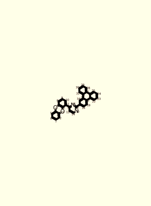 c1ccc2c(c1)Oc1cccc(-c3ccnc(-c4ccc5c6ccccc6c6ccccc6c5c4)n3)c1O2